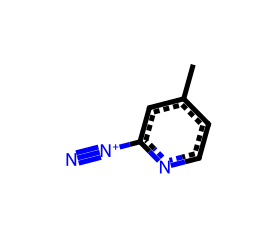 Cc1ccnc([N+]#N)c1